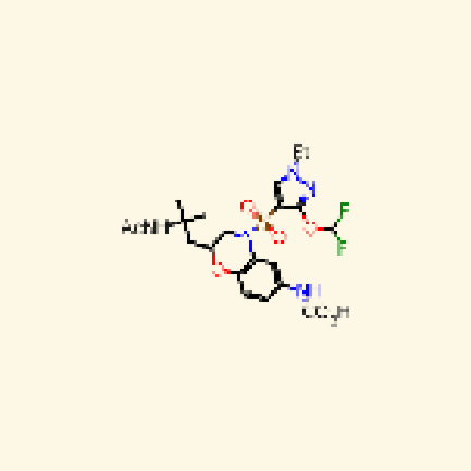 CCn1cc(S(=O)(=O)N2CC(CC(C)(C)NC(C)=O)Oc3ccc(NC(=O)O)cc32)c(OC(F)F)n1